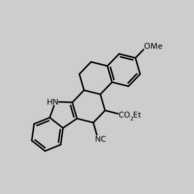 [C-]#[N+]C1c2c([nH]c3ccccc23)C2CCc3cc(OC)ccc3C2C1C(=O)OCC